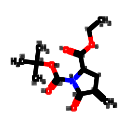 C=C1CC(C(=O)OCC)N(C(=O)OC(C)(C)C)C1=O